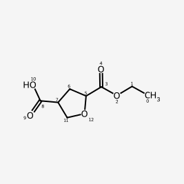 CCOC(=O)C1CC(C(=O)O)CO1